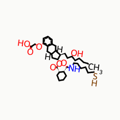 CCCCC[C@H](O)CC[C@@H]1[C@H]2Cc3cccc(OCC(=O)O)c3C[C@H]2C[C@H]1OC(=O)[C@H]1CCCC[C@H]1C(=O)NCCCCCCS